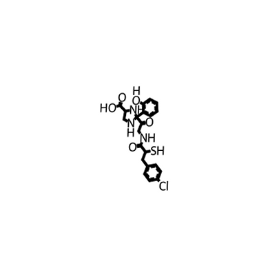 O=C(NCC(=O)C1(c2ccccc2O)NCC(C(=O)O)N1)C(S)Cc1ccc(Cl)cc1